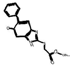 CC(C)(C)OC(=O)CSc1nc2cc(-c3ccccc3)c(Cl)cc2[nH]1